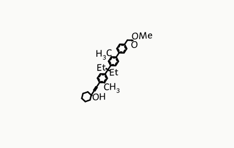 CCC(CC)(c1ccc(C#CC2(O)CCCCC2)c(C)c1)c1ccc(-c2ccc(CC(=O)OC)cc2)c(C)c1